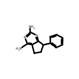 Nc1nc(N)c2c(n1)C(c1ccccc1)CC2